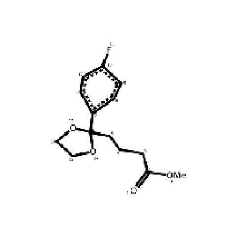 COC(=O)CCCC1(c2ccc(F)cc2)OCCO1